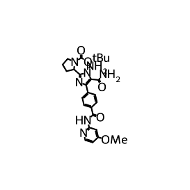 COc1ccnc(NC(=O)c2ccc(-c3nc(C4CCCN4C(=O)OC(C)(C)C)n(N)c3C(N)=O)cc2)c1